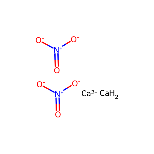 O=[N+]([O-])[O-].O=[N+]([O-])[O-].[Ca+2].[CaH2]